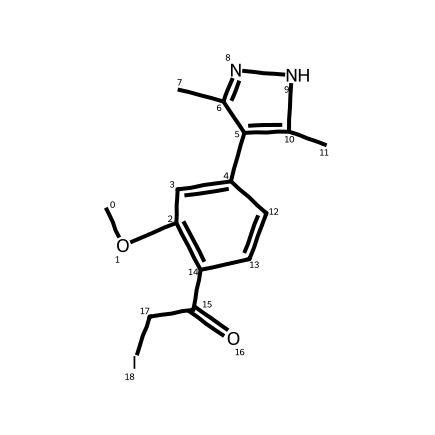 COc1cc(-c2c(C)n[nH]c2C)ccc1C(=O)CI